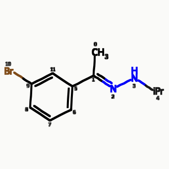 C/C(=N\NC(C)C)c1cccc(Br)c1